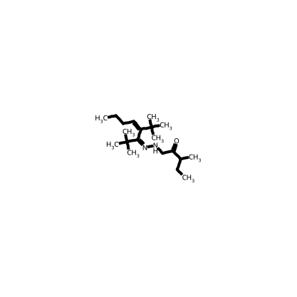 CCC/C=C(\C(=N/NCC(=O)C(C)CC)C(C)(C)C)C(C)(C)C